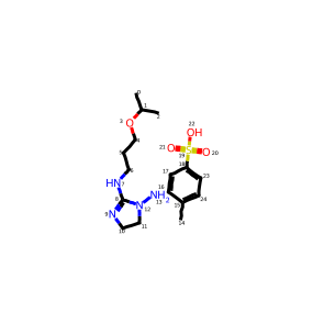 CC(C)OCCCNC1=NCCN1N.Cc1ccc(S(=O)(=O)O)cc1